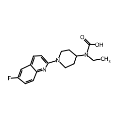 CCN(C(=O)O)C1CCN(c2ccc3cc(F)ccc3n2)CC1